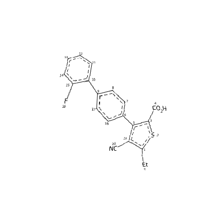 CCc1sc(C(=O)O)c(-c2ccc(-c3ccccc3F)cc2)c1C#N